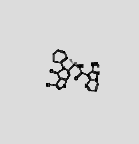 C[C@H](NC(=O)c1c(N)nn2cccnc12)c1cc2scc(Cl)c2c(=O)n1-c1ccccc1